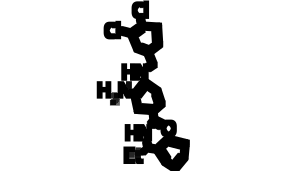 CC[C@@H](NC(=O)c1ccc(NCc2ccc(Cl)c(Cl)c2)c(N)c1)c1ccccc1